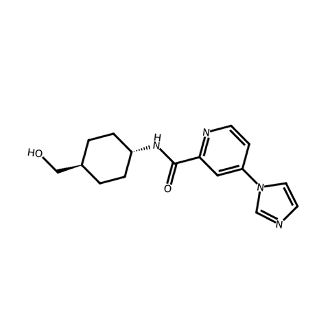 O=C(N[C@H]1CC[C@H](CO)CC1)c1cc(-n2ccnc2)ccn1